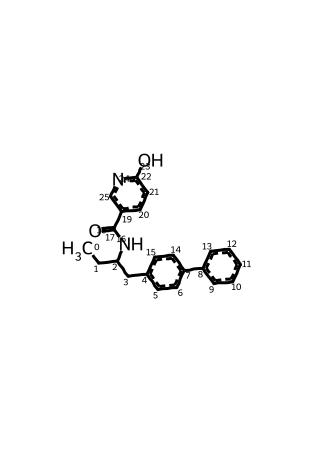 CCC(Cc1ccc(-c2ccccc2)cc1)NC(=O)c1ccc(O)nc1